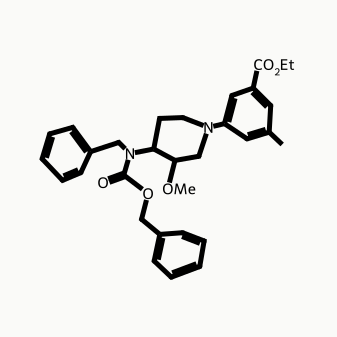 CCOC(=O)c1cc(C)cc(N2CCC(N(Cc3ccccc3)C(=O)OCc3ccccc3)C(OC)C2)c1